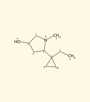 CCC1(C2CC(O)CN2C)CC1